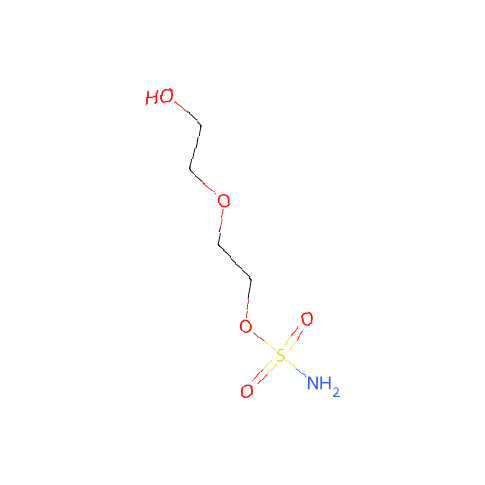 NS(=O)(=O)OCCOCCO